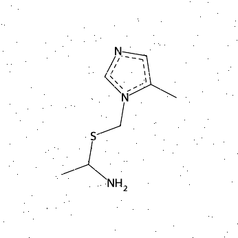 Cc1cncn1CSC(C)N